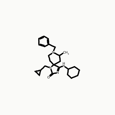 CC1CC2(CCN1Cc1ccccc1)C(NC1CCCCC1)=NC(=O)N2CC1CC1